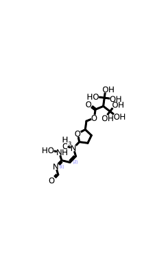 CN(/C=C\C(=N/C=O)NO)C1CCC(COC(=O)C(C(O)(O)O)C(O)(O)O)O1